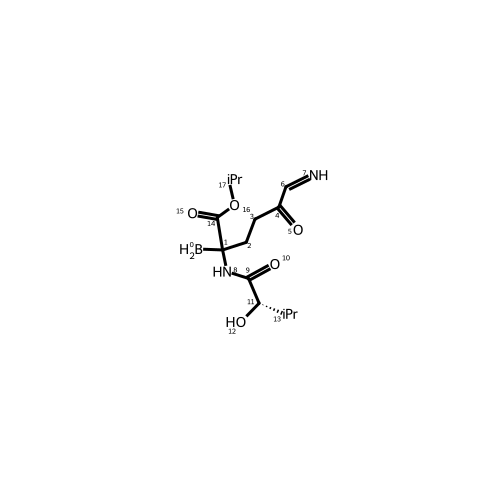 BC(CCC(=O)C=N)(NC(=O)[C@@H](O)C(C)C)C(=O)OC(C)C